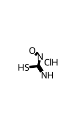 Cl.N=C(S)N=O